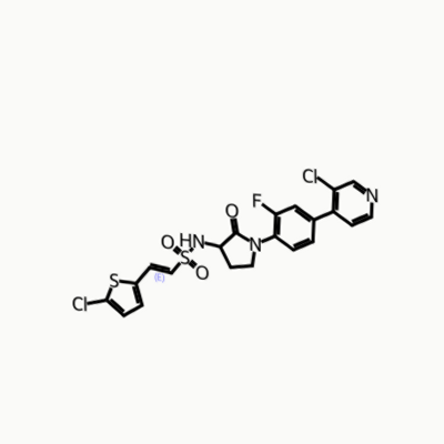 O=C1C(NS(=O)(=O)/C=C/c2ccc(Cl)s2)CCN1c1ccc(-c2ccncc2Cl)cc1F